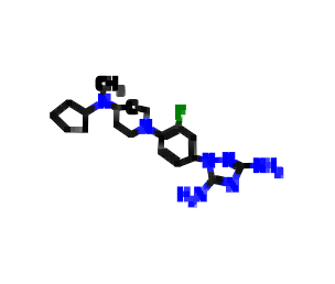 CN(C1CCCC1)C1CCN(c2ccc(-n3nc(N)nc3N)cc2F)CC1